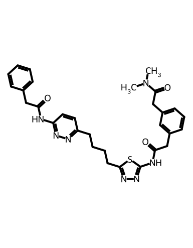 CN(C)C(=O)Cc1cccc(CC(=O)Nc2nnc(CCCCc3ccc(NC(=O)Cc4ccccc4)nn3)s2)c1